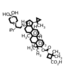 CC(C)[C@@H](CN[C@]12CC[C@@H](C3(C)CC3)[C@@H]1[C@H]1CC[C@@H]3[C@@]4(C)CC[C@H](OC(=O)[C@H]5C[C@@H](C(=O)O)C5(C)C)C(C)(C)[C@@H]4CC[C@@]3(C)[C@]1(C)CC2)N1CCS(O)(O)CC1